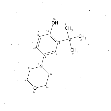 CC(C)(C)c1cc(N2CCOCC2)ccc1O